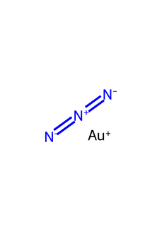 [Au+].[N-]=[N+]=[N-]